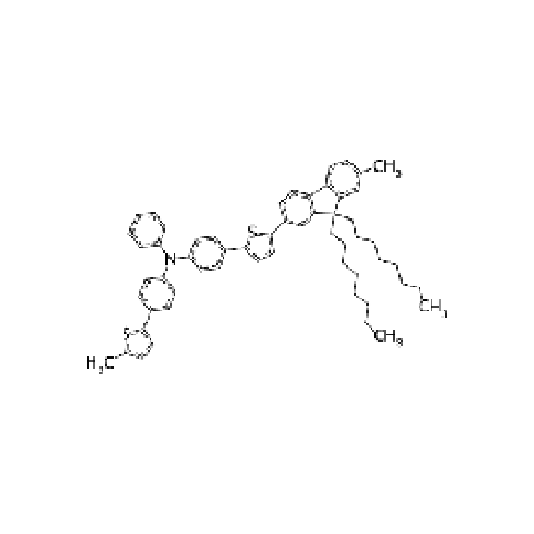 CCCCCCCCC1(CCCCCCCC)c2cc(C)ccc2-c2ccc(-c3ccc(-c4ccc(N(c5ccccc5)c5ccc(-c6ccc(C)s6)cc5)cc4)s3)cc21